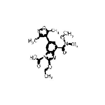 CCOc1nc2c(C(=O)N(C)OC)cc(-c3c(C)noc3C)cc2n1C(=O)O